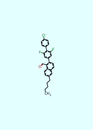 CCCCCc1ccc2c(C=O)c(-c3cc(F)c(-c4ccc(Cl)cc4)c(F)c3)ccc2c1